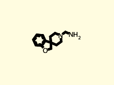 NCN1CCC2(CC1)COc1ccccc12